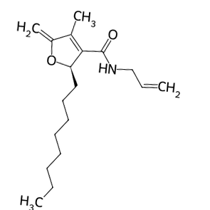 C=CCNC(=O)C1=C(C)C(=C)O[C@@H]1CCCCCCCC